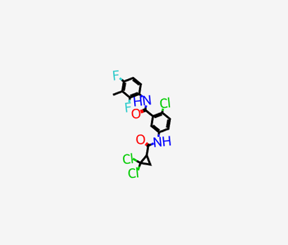 Cc1c(F)ccc(NC(=O)c2cc(NC(=O)C3CC3(Cl)Cl)ccc2Cl)c1F